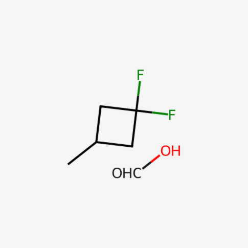 CC1CC(F)(F)C1.O=CO